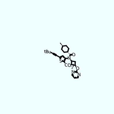 CC(C)(C)C#Cc1cc(N(C(=O)[C@H]2CC[C@H](C)CC2)C2CC(Oc3ncccn3)C2)c(C(=O)O)s1